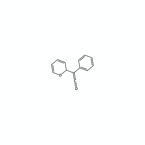 O=C=C(c1ccccc1)C1C=CC=CO1